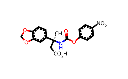 C[C@@](CC(=O)O)(NC(=O)Oc1ccc([N+](=O)[O-])cc1)c1ccc2c(c1)OCO2